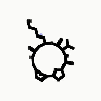 CC(C)C1NC(=O)C2(C)CSC(=N2)C2=CCC(=N2)CNC(=O)CC(/C=C/CCS)OC1=O